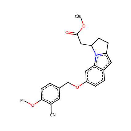 CC(C)Oc1ccc(COc2ccc3cc4n(c3c2)C(CC(=O)OC(C)(C)C)CC4)cc1C#N